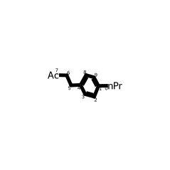 CCCc1ccc(CCC(C)=O)cc1